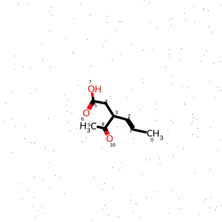 CC=CC(CC(=O)O)C(C)=O